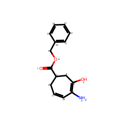 NC1=C(O)CC(C(=O)OCc2ccccc2)CC=C1